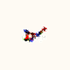 Cc1c(Cl)c2c(Cl)c(C)c1-c1c(-c3ccc(F)cc3)sc3ncnc(c13)O[C@@H](C(=O)O)Cc1cc(ccc1OCc1ccnc(C3=CC[C@](F)(COC[C@H]4COCCO4)CC3)n1)OC[C@@H](CN1CCN(C)CC1)O2